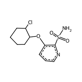 NS(=O)(=O)c1ncccc1OC1CCCCC1Cl